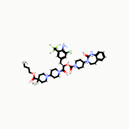 CCCCOC(=O)C1(C)CCN(C2CCN(C(=O)[C@@H](Cc3cc(Cl)c(N)c(C(F)(F)F)c3)OC(=O)N3CCC(N4CCc5ccccc5NC4=O)CC3)CC2)CC1